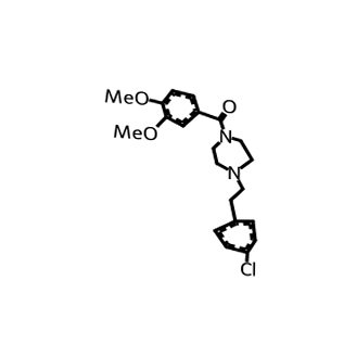 COc1ccc(C(=O)N2CCN(CCc3ccc(Cl)cc3)CC2)cc1OC